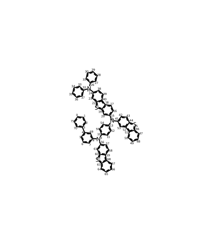 c1ccc(-c2cccc(N(c3ccc(N(c4ccc5c(c4)sc4cc(N(c6ccccc6)c6ccccc6)ccc45)c4ccc5sc6ccccc6c5c4)cc3)c3ccc4c(c3)sc3ccccc34)c2)cc1